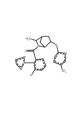 CC1C2CC(Oc3ccc(C(F)(F)F)cn3)C(C2)N1C(=O)c1cccc(F)c1-n1nccn1